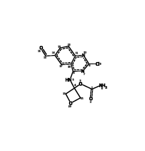 NC(=O)OC1(Nc2nc(Cl)nc3ccc(C=O)cc23)COC1